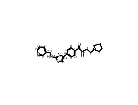 O=C(NCCN1CCCC1)c1ccc(-c2csc(NCc3cccnc3)n2)cc1